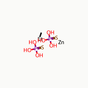 CCC.OP(O)(O)=S.OP(O)(O)=S.[Zn]